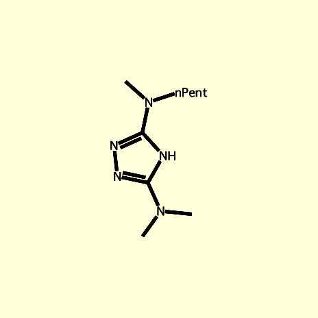 CCCCCN(C)c1nnc(N(C)C)[nH]1